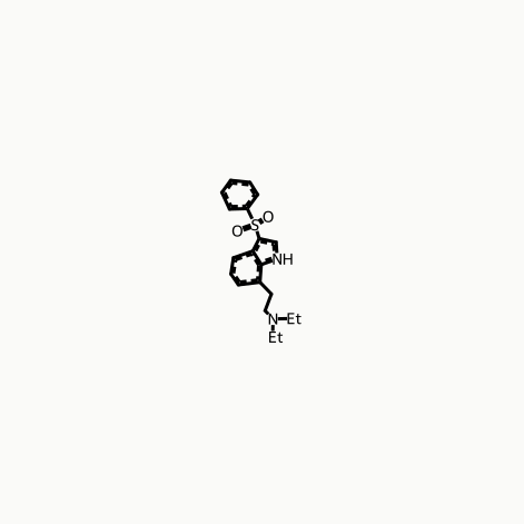 CCN(CC)CCc1cccc2c(S(=O)(=O)c3ccccc3)c[nH]c12